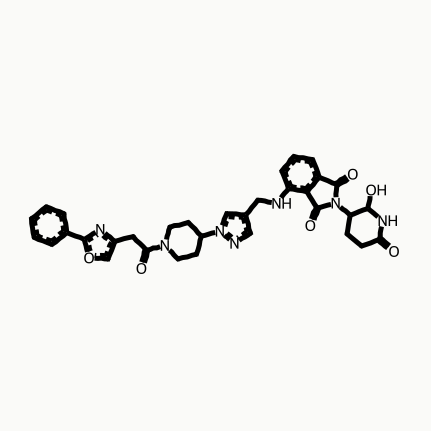 O=C1CCC(N2C(=O)c3cccc(NCc4cnn(C5CCN(C(=O)Cc6coc(-c7ccccc7)n6)CC5)c4)c3C2=O)C(O)N1